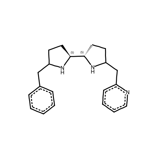 c1ccc(CC2CC[C@@H]([C@@H]3CCC(Cc4ccccn4)N3)N2)cc1